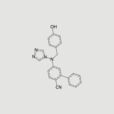 N#Cc1ccc(N(Cc2ccc(O)cc2)n2cnnc2)cc1-c1ccccc1